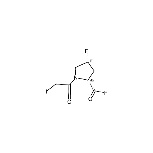 O=C(F)[C@H]1C[C@@H](F)CN1C(=O)CI